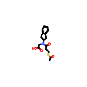 CC(=O)SCCC(=O)N(CC(=O)O)C1Cc2ccccc2C1